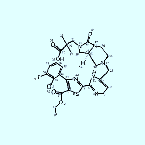 CCOC(=O)c1sc(C2=NCC=C(CN3CCN4C(=O)N(CC(C)(C)C(=O)O)C[C@@H]4C3)N2)nc1-c1cccc(F)c1Cl